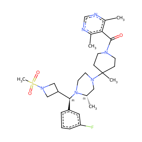 Cc1ncnc(C)c1C(=O)N1CCC(C)(N2CCN([C@@H](c3cccc(F)c3)C3CN(S(C)(=O)=O)C3)[C@@H](C)C2)CC1